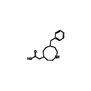 O=C(O)CC1CCNCCC(Cc2ccccc2)CC1